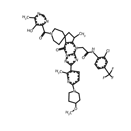 COC1CCN(c2ccc(-c3nc4n(CC(=O)Nc5ccc(C(F)(F)F)cc5Cl)c5c(c(=O)n4n3)C3(CCN(C(=O)c4ncnc(C)c4O)CC3)CC5C)c(C)n2)CC1